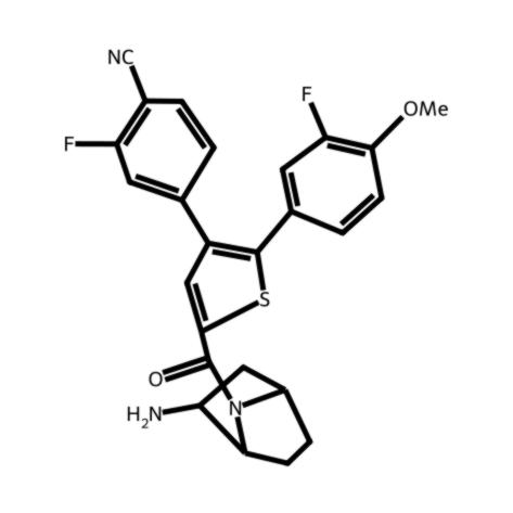 COc1ccc(-c2sc(C(=O)N3C4CCC3C(N)C4)cc2-c2ccc(C#N)c(F)c2)cc1F